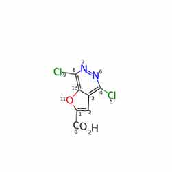 O=C(O)c1cc2c(Cl)nnc(Cl)c2o1